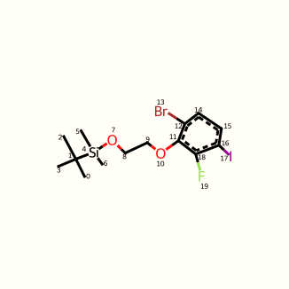 CC(C)(C)[Si](C)(C)OCCOc1c(Br)ccc(I)c1F